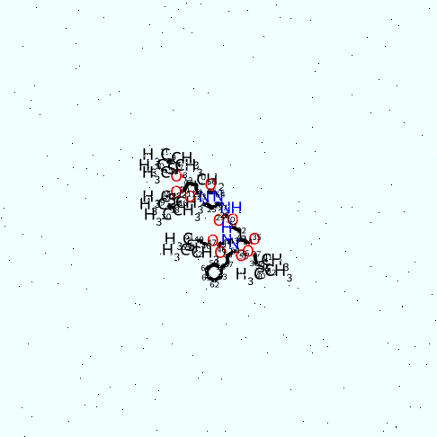 C=C1[C@@H](CO[Si](C)(C)C(C)(C)C)[C@@H](O[Si](C)(C)C(C)(C)C)O[C@H]1n1ccc(NC(=O)OCC[C@@H](C(=O)OCC[Si](C)(C)C)N(NC(=O)OCC[Si](C)(C)C)C(=O)CCC2CCCCC2)nc1=O